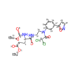 CC(C)(C)OC(=O)CCC(NC(=O)OC(C)(C)C)C(=O)NCCN(C(=O)C(Cl)Cl)c1cccc(-c2ccno2)c1